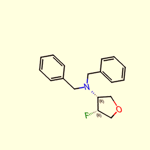 F[C@H]1COC[C@H]1N(Cc1ccccc1)Cc1ccccc1